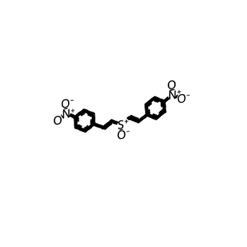 O=[N+]([O-])c1ccc(C=C[S+]([O-])C=Cc2ccc([N+](=O)[O-])cc2)cc1